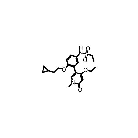 CCOc1cc(=O)n(C)cc1-c1cc(NS(=O)(=O)CC)ccc1OCCC1CC1